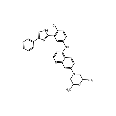 CC1CN(c2ccc3c(Nc4ccc(Cl)c(-c5nc(-c6ccccc6)c[nH]5)c4)ccnc3c2)CC(C)O1